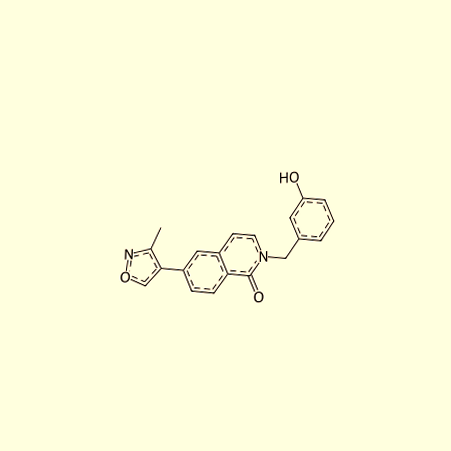 Cc1nocc1-c1ccc2c(=O)n(Cc3cccc(O)c3)ccc2c1